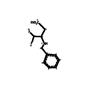 CCOC(=O)CC(NCc1ccccc1)C(F)F